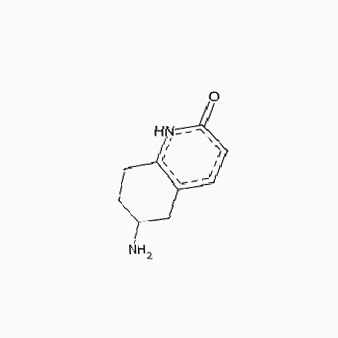 NC1CCc2[nH]c(=O)ccc2C1